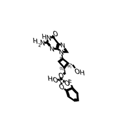 Nc1nc2c(ncn2[C@@H]2C[C@H](COP(=O)(O)Oc3ccccc3F)[C@H]2CO)c(=O)[nH]1